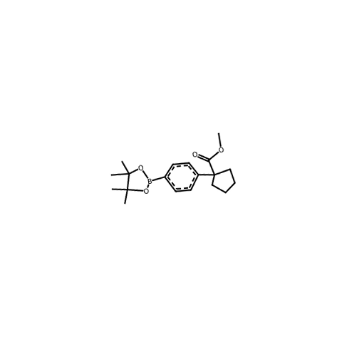 COC(=O)C1(c2ccc(B3OC(C)(C)C(C)(C)O3)cc2)CCCC1